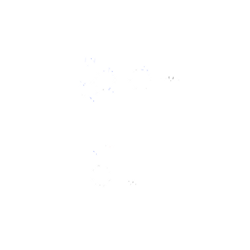 COc1cccc(NC(=O)C2CCC(n3cnc4c(N)nc(-c5ccc(OC)nc5)nc43)CC2)c1